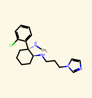 CN[C@@]1(c2ccccc2Cl)CCCC[C@@H]1NCCCn1ccnc1